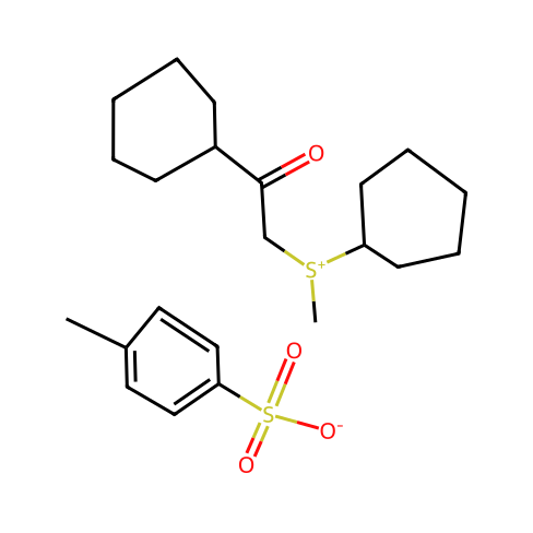 C[S+](CC(=O)C1CCCCC1)C1CCCCC1.Cc1ccc(S(=O)(=O)[O-])cc1